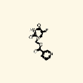 O=C(OCn1cc(F)c(=O)[nH]c1=O)c1cccnc1